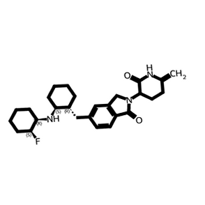 C=C1CCC(N2Cc3cc(C[C@H]4CCCC[C@@H]4N[C@@H]4CCCC[C@@H]4F)ccc3C2=O)C(=O)N1